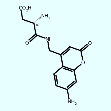 Nc1ccc2c(CNC(=O)[C@@H](N)CC(=O)O)cc(=O)oc2c1